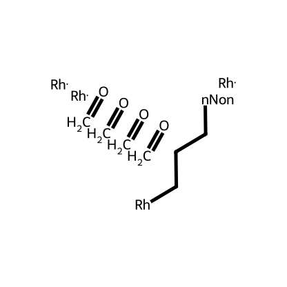 C=O.C=O.C=O.C=O.CCCCCCCCCCC[CH2][Rh].[Rh].[Rh].[Rh]